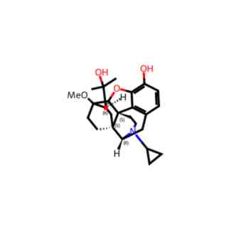 COC12CC[C@@]3(C[C@@H]1C(C)(C)O)[C@H]1Cc4ccc(O)c5c4[C@@]3(CCN1C1CC1)[C@]2(C)O5